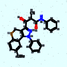 COc1ccc2c(c1)-c1c(c(C(=O)C(C#N)C(=O)Nc3ccccc3)nn1-c1ccccc1)CS2